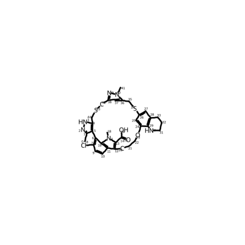 Cc1n[nH]c2c1-c1c(Cl)ccc3c(c(C(=O)O)n(C)c13)CCCOc1cc(cc3c1NCCC3)SCc1cc(nn1C)CSC2